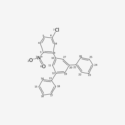 O=[N+]([O-])c1ccc(Cl)cc1-c1cc(-c2ccccc2)cc(-c2ccccc2)c1